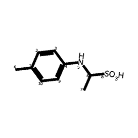 Cc1ccc(NC(C)S(=O)(=O)O)cc1